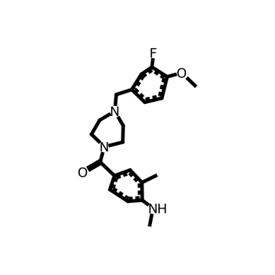 CNc1ccc(C(=O)N2CCN(Cc3ccc(OC)c(F)c3)CC2)cc1C